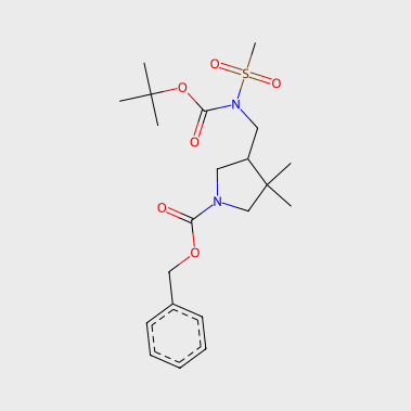 CC(C)(C)OC(=O)N(CC1CN(C(=O)OCc2ccccc2)CC1(C)C)S(C)(=O)=O